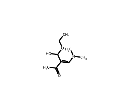 CCOC(O)/C(=C\N(C)C)C(C)=O